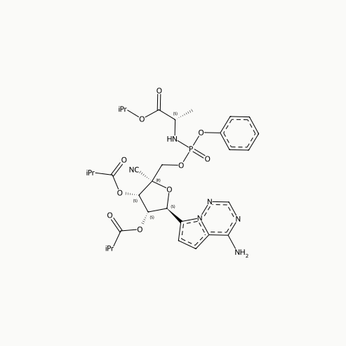 CC(C)OC(=O)[C@H](C)NP(=O)(OC[C@@]1(C#N)O[C@@H](c2ccc3c(N)ncnn23)[C@H](OC(=O)C(C)C)[C@@H]1OC(=O)C(C)C)Oc1ccccc1